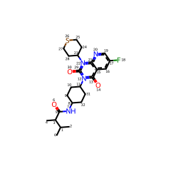 CC(C)C(C)C(=O)NC1CCC(n2c(=O)c3cc(F)cnc3n(C3CCSCC3)c2=O)CC1